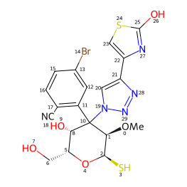 CO[C@H]1[C@@H](S)O[C@H](CO)[C@H](O)C1(c1cc(Br)ccc1C#N)n1cc(-c2csc(O)n2)nn1